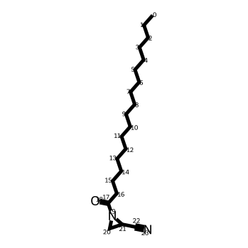 CCCCCCCCCCCCCCCCCC(=O)N1CC1C#N